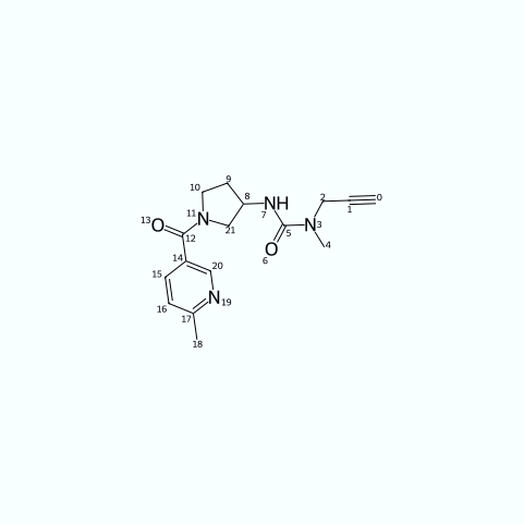 C#CCN(C)C(=O)NC1CCN(C(=O)c2ccc(C)nc2)C1